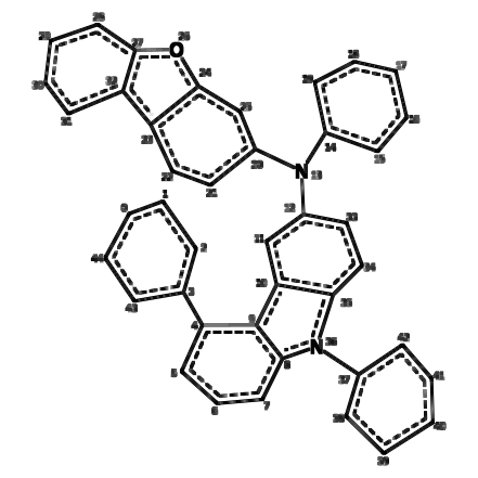 c1ccc(-c2cccc3c2c2cc(N(c4ccccc4)c4ccc5c(c4)oc4ccccc45)ccc2n3-c2ccccc2)cc1